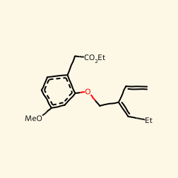 C=C/C(=C\CC)COc1cc(OC)ccc1CC(=O)OCC